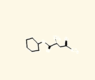 NC(=O)C[C@H](N)C(=O)OC1CCCCC1